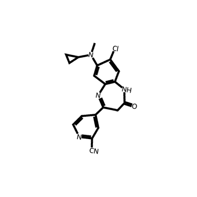 CN(c1cc2c(cc1Cl)NC(=O)CC(c1ccnc(C#N)c1)=N2)C1CC1